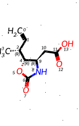 C=C[C@@H](C)[C@H]1OC(=O)N[C@@H]1CC(=O)O